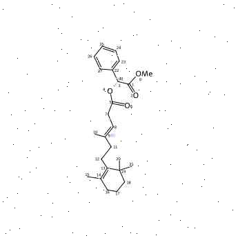 COC(=O)[C@H](OC(=O)C/C=C(\C)CCC1=C(C)CCCC1(C)C)c1ccccc1